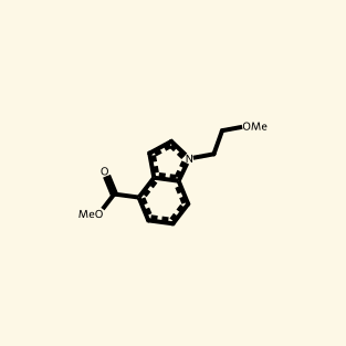 COCCn1ccc2c(C(=O)OC)cccc21